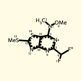 CON(C)c1nc(C(F)F)nc2nc(SC)sc12